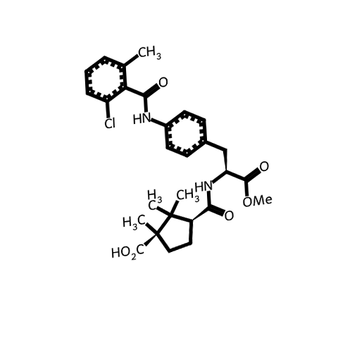 COC(=O)[C@H](Cc1ccc(NC(=O)c2c(C)cccc2Cl)cc1)NC(=O)[C@H]1CC[C@@](C)(C(=O)O)C1(C)C